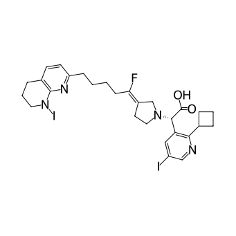 O=C(O)[C@H](c1cc(I)cnc1C1CCC1)N1CC/C(=C(/F)CCCCc2ccc3c(n2)N(I)CCC3)C1